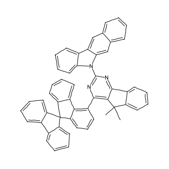 CC1(C)c2ccccc2-c2nc(-n3c4ccccc4c4cc5ccccc5cc43)nc(-c3cccc4c3-c3ccccc3C43c4ccccc4-c4ccccc43)c21